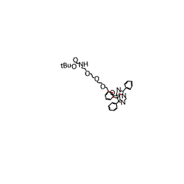 CC(C)(C)OC(=O)NCCOCCOCCOCCOCC12CN3CN(C1)C(c1ccccc1)N(C2)C(c1ccccc1)C3c1ccccc1